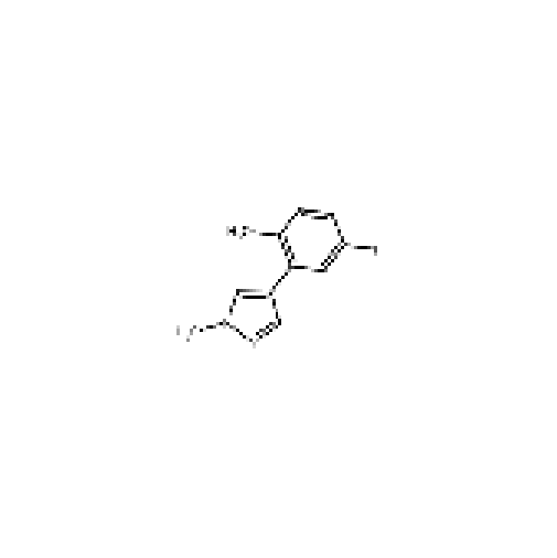 Cc1ccc(F)cc1-c1cnn(C)c1